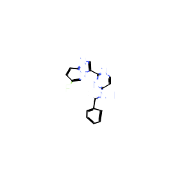 C[C@H](Nc1ccnc(-c2cnc3ccc(F)cn23)n1)c1ccccc1